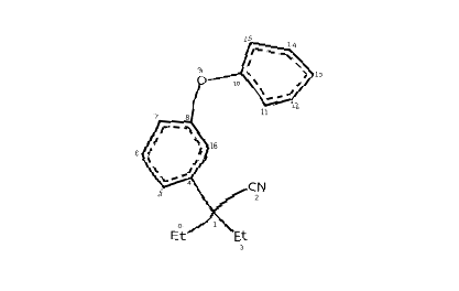 CCC(C#N)(CC)c1cccc(Oc2ccccc2)c1